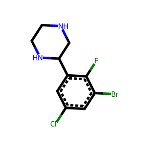 Fc1c(Br)cc(Cl)cc1C1CNCCN1